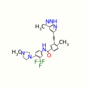 Cc1ccc(C(=O)Nc2ccc(CN3CCN(C)CC3)c(C(F)(F)F)c2)cc1C#Cc1cnc2[nH]nc(C)c2c1